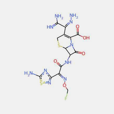 N=C(N)C(=NN)C1=C(C(=O)O)N2C(=O)C(NC(=O)C(=NOCF)c3nsc(N)n3)C2SC1